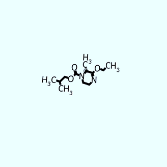 CCOC1=NCCN(C(=O)OCC(C)C)[C@@H]1C